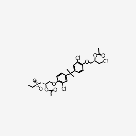 CCS(=O)(=O)C[C@H](COc1ccc(C(C)(C)c2ccc(OC[C@H](CCl)OC(C)=O)c(Cl)c2)cc1Cl)OC(C)=O